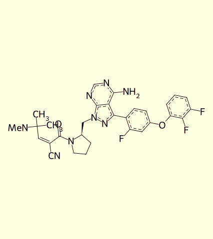 CNC(C)(C)/C=C(/C#N)C(=O)N1CCC[C@@H]1Cn1nc(-c2ccc(Oc3cccc(F)c3F)cc2F)c2c(N)ncnc21